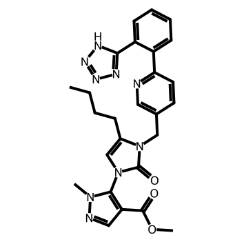 CCCCc1cn(-c2c(C(=O)OC)cnn2C)c(=O)n1Cc1ccc(-c2ccccc2-c2nnn[nH]2)nc1